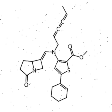 CC=C=C=CCN(/C=C1\CN2C(=O)CCC12)c1cc(C2=CCCCC2)sc1C(=O)OC